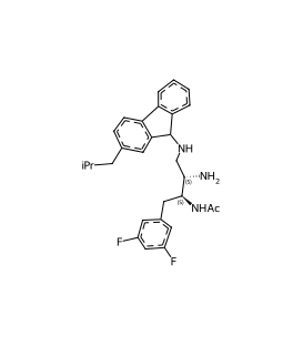 CC(=O)N[C@@H](Cc1cc(F)cc(F)c1)[C@@H](N)CNC1c2ccccc2-c2ccc(CC(C)C)cc21